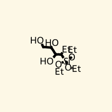 CCO[Si](OCC)(OCC)C(CC)C(O)C(O)CO